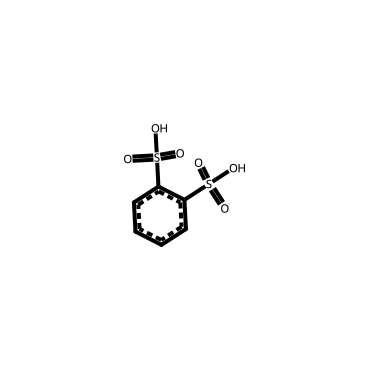 O=S(=O)(O)c1ccccc1S(=O)(=O)O